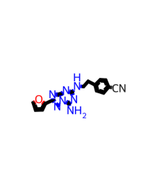 N#Cc1ccc(CCNc2nc(N)n3nc(-c4ccco4)nc3n2)cc1